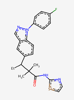 CCC(c1ccc2c(cnn2-c2ccc(F)cc2)c1)C(C)(C)C(=O)Nc1nccs1